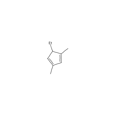 CC[C]1C=C(C)C=C1C